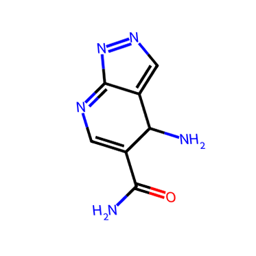 NC(=O)C1=CN=C2N=NC=C2C1N